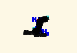 COc1cc2c(N)nc(N3CCN(C(=O)C[C@@H](N)c4ccc(F)cc4)CC3)nc2c(F)c1OC